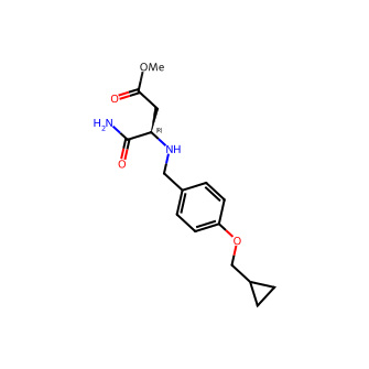 COC(=O)C[C@@H](NCc1ccc(OCC2CC2)cc1)C(N)=O